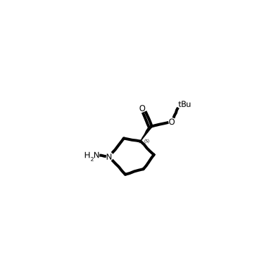 CC(C)(C)OC(=O)[C@H]1CCCN(N)C1